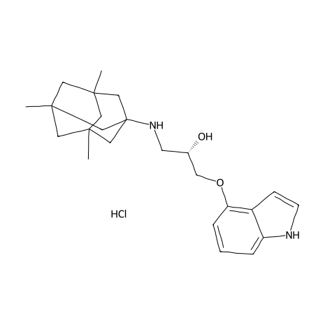 CC12CC3(C)CC(C)(C1)CC(NC[C@H](O)COc1cccc4[nH]ccc14)(C2)C3.Cl